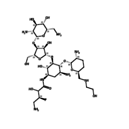 NC[C@@H]1O[C@H](O[C@H]2[C@@H](O)[C@H](O[C@@H]3[C@@H](O)[C@H](NC(=O)C(O)[C@@H](F)CN)C[C@H](N)[C@H]3O[C@H]3O[C@H](CNCCO)CC[C@H]3N)O[C@@H]2CO)[C@H](N)[C@@H](O)[C@@H]1O